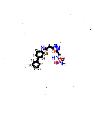 CNS(=O)(=O)NCc1nnc(Cc2nc3ccc(-c4ccccc4)cc3s2)o1